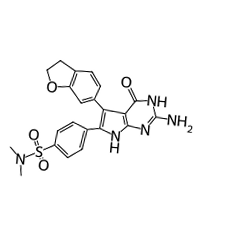 CN(C)S(=O)(=O)c1ccc(-c2[nH]c3nc(N)[nH]c(=O)c3c2-c2ccc3c(c2)OCC3)cc1